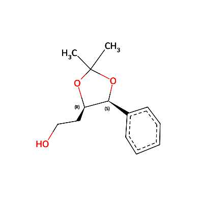 CC1(C)O[C@H](CCO)[C@H](c2ccccc2)O1